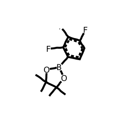 [CH2]c1c(F)ccc(B2OC(C)(C)C(C)(C)O2)c1F